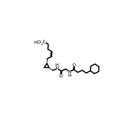 O=C(O)CC/C=C\C[C@@H]1C[C@@H]1CNC(=O)CNC(=O)CCCC1CCCCC1